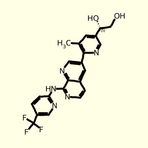 Cc1cc([C@H](O)CO)cnc1-c1cnc2c(Nc3ccc(C(F)(F)F)cn3)nccc2c1